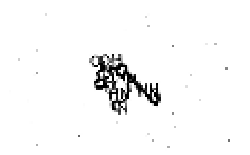 O=C(O)C(Cc1cccc(Cl)c1O)NCc1ccc(CN(CCNCc2ccccn2)CCNCc2ccccn2)cc1